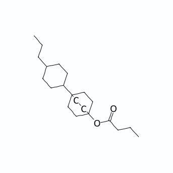 CCCC(=O)OC12CCC(C3CCC(CCC)CC3)(CC1)CC2